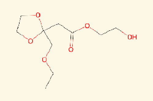 CCOCC1(CC(=O)OCCO)OCCO1